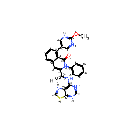 COc1ncc(-c2cccc3cc([C@H](C)Nc4ncnc5scnc45)n(-c4ccccc4)c(=O)c23)cn1